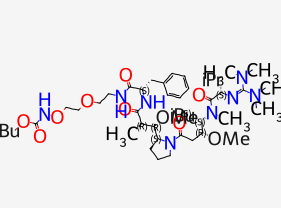 CC[C@H](C)[C@@H]([C@@H](CC(=O)N1CCC[C@H]1[C@H](OC)[C@@H](C)C(=O)N[C@@H](Cc1ccccc1)C(=O)NCCOCCONC(=O)OC(C)(C)C)OC)N(C)C(=O)[C@@H](N=C(N(C)C)N(C)C)C(C)C